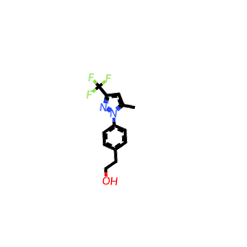 Cc1cc(C(F)(F)F)nn1-c1ccc(CCO)cc1